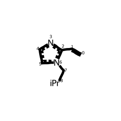 C=Cc1nccn1CC(C)C